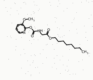 CCCCCCCCOC(=O)CNC(=O)Oc1ncccc1OC